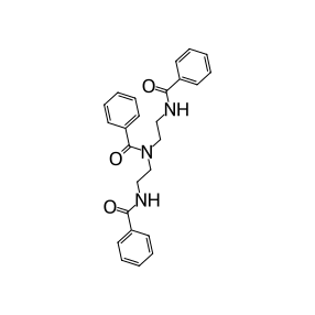 O=C(NCCN(CCNC(=O)c1ccccc1)C(=O)c1ccccc1)c1ccccc1